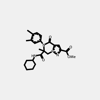 COC(=O)c1cc2n(n1)CC(C)(C(=O)NC1CCCCC1)N(c1ccc(C)c(C)c1)C2=O